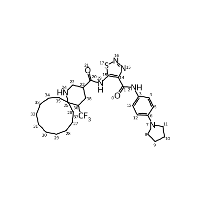 O=C(Nc1ccc(N2CCCC2)cc1)c1nnsc1NC(=O)C1CNC2(CCCCCCCCCC2)C(C(F)(F)F)C1